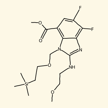 COCCNc1nc2c(F)c(F)cc(C(=O)OC)c2n1COCC[Si](C)(C)C